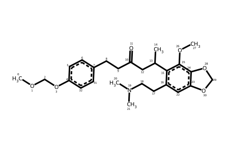 COCOc1ccc(CCC(=O)CC(C)c2c(CCN(C)C)cc3c(c2OC)OCO3)cc1